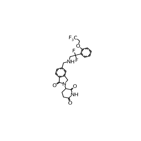 O=C1CCC(N2Cc3cc(CNCC(F)(F)c4ccccc4OCC(F)(F)F)ccc3C2=O)C(=O)N1